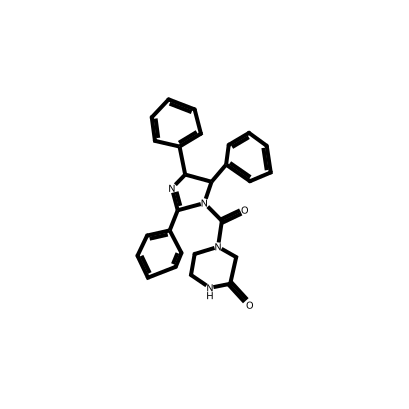 O=C1CN(C(=O)N2C(c3ccccc3)=NC(c3ccccc3)C2c2ccccc2)CCN1